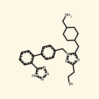 CC(C)CCc1nc(CC2CCC(CN)CC2)n(Cc2ccc(-c3ccccc3-c3nnn[nH]3)cc2)n1